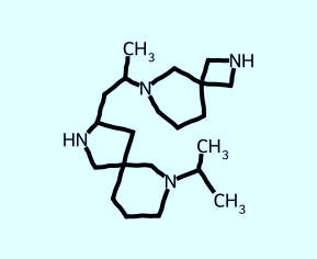 CC(C)N1CCCC2(CNC(CC(C)N3CCCC4(CNC4)C3)C2)C1